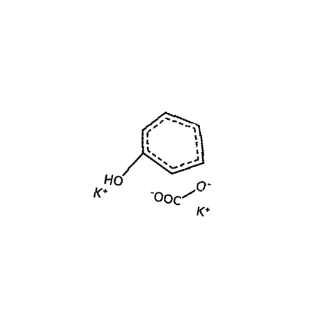 O=C([O-])[O-].Oc1ccccc1.[K+].[K+]